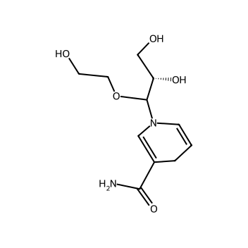 NC(=O)C1=CN(C(OCCO)[C@@H](O)CO)C=CC1